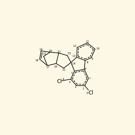 Clc1cc(Cl)c2c(c1)-c1ccccc1C21CC2C3C=CC(C3)C2C1